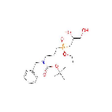 CCOP(=O)(CCCN(Cc1ccccc1)C(=O)OC(C)(C)C)CC(O)CO